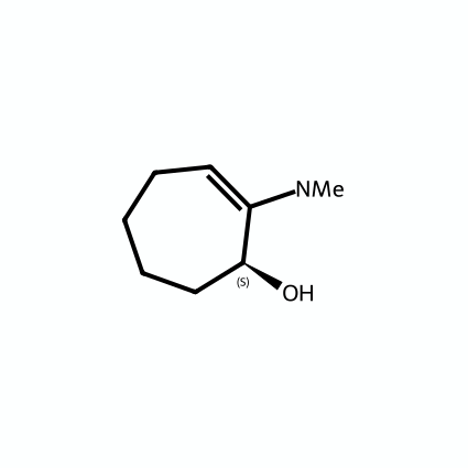 CNC1=CCCCC[C@@H]1O